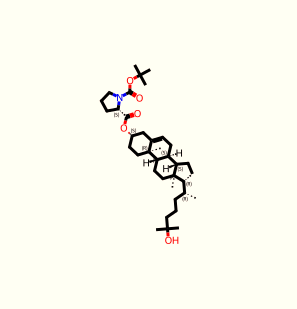 C[C@H](CCCC(C)(C)O)[C@H]1CC[C@H]2[C@@H]3CC=C4C[C@@H](OC(=O)[C@@H]5CCCN5C(=O)OC(C)(C)C)CC[C@]4(C)[C@H]3CC[C@]12C